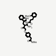 CNC(=O)Cc1ccc(OCC(=O)C(Cc2c[nH]c3ccccc23)C(N)NC(=O)CCc2ccccc2OC)cc1